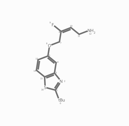 CC(C)(C)c1nc2cc(OC/C(F)=C\CN)ccc2s1